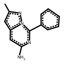 Cc1cc2cc(N)nc(-c3ccccc3)n2n1